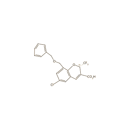 O=C(O)C1=Cc2cc(Cl)cc(COCc3ccccc3)c2O[C@@H]1C(F)(F)F